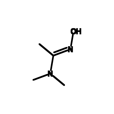 C/C(=N\O)N(C)C